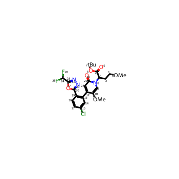 COCCC(C(=O)OC(C)(C)C)n1cc(OC)c(-c2cc(Cl)ccc2-c2nnc(C(F)F)o2)cc1=O